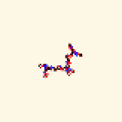 c1ccc(-c2cnc(-n3c4ccc(-c5nc6ccccc6o5)cc4c4cc(-c5nc6cccc(-c7ccc8oc(-c9ccc%10c(c9)c9cc(-c%11nc%12ccc(-c%13ccc%14oc(-c%15ccc%16c(c%15)c%15cc(-c%17nc%18ccccc%18o%17)ccc%15n%16-c%15nccc(-c%16ccccc%16)n%15)nc%14c%13)cc%12o%11)ccc9n%10-c9nc(-c%10ccccc%10)c%10ccccc%10n9)nc8c7)c6o5)ccc43)nc2)cc1